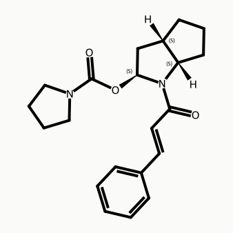 O=C(O[C@H]1C[C@@H]2CCC[C@@H]2N1C(=O)C=Cc1ccccc1)N1CCCC1